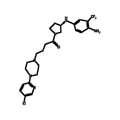 O=C(CCCN1CCN(c2ccc(Cl)cn2)CC1)N1CC[C@@H](Nc2ccc([N+](=O)[O-])c(C(F)(F)F)c2)C1